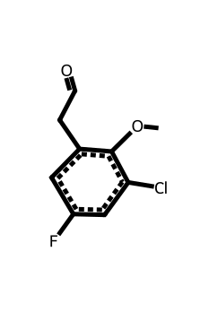 COc1c(Cl)cc(F)cc1CC=O